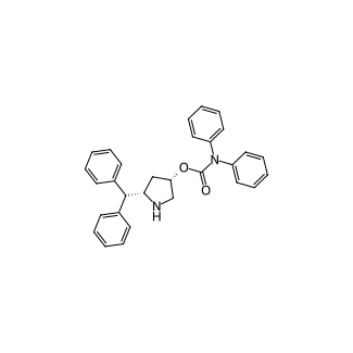 O=C(O[C@@H]1CN[C@H](C(c2ccccc2)c2ccccc2)C1)N(c1ccccc1)c1ccccc1